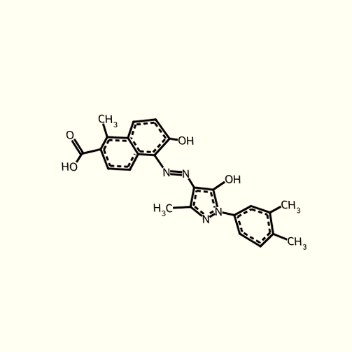 Cc1ccc(-n2nc(C)c(N=Nc3c(O)ccc4c(C)c(C(=O)O)ccc34)c2O)cc1C